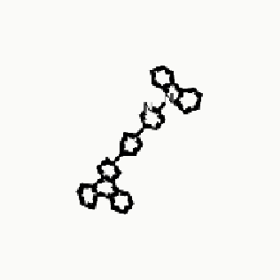 c1ccc2c(c1)c1ccccc1c1cc(-c3ccc(-c4ccc(-n5c6ccccc6c6ccccc65)nc4)cc3)ccc21